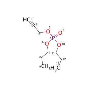 C#CCOP(=O)(OCCC)OCCC